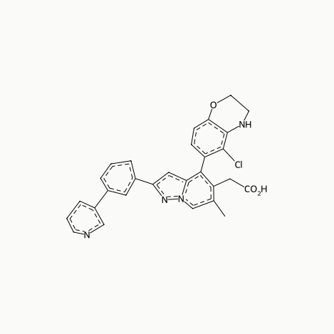 Cc1cn2nc(-c3cccc(-c4cccnc4)c3)cc2c(-c2ccc3c(c2Cl)NCCO3)c1CC(=O)O